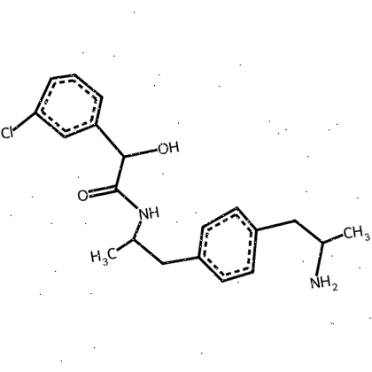 CC(N)Cc1ccc(CC(C)NC(=O)C(O)c2cccc(Cl)c2)cc1